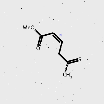 COC(=O)/C=C\CC(C)=S